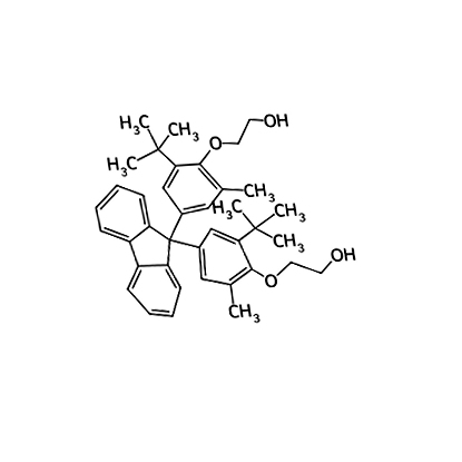 Cc1cc(C2(c3cc(C)c(OCCO)c(C(C)(C)C)c3)c3ccccc3-c3ccccc32)cc(C(C)(C)C)c1OCCO